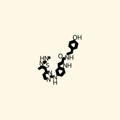 CNc1nc(C)c(-c2ccnc(Nc3ccc4[nH]c(C(=O)NCCc5ccc(O)cc5)cc4c3)n2)s1